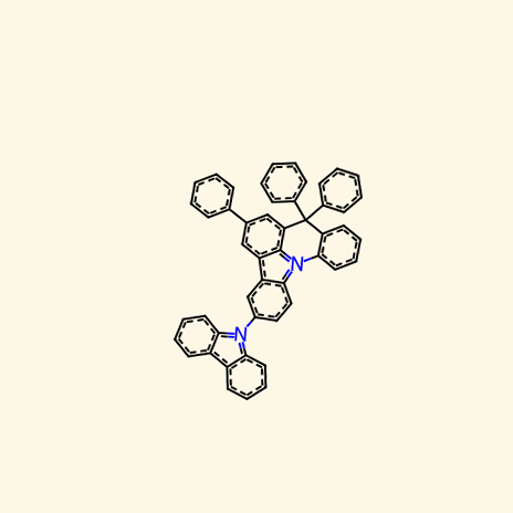 c1ccc(-c2cc3c4c(c2)c2cc(-n5c6ccccc6c6ccccc65)ccc2n4-c2ccccc2C3(c2ccccc2)c2ccccc2)cc1